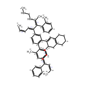 CBCN\C(C)=C(/C(=C/C=C\C)c1ccc(-c2ccccc2C)c(C2=CC3=C(CCCC3)CC2/N=C/C=C(\C=C/C)c2ccccc2)c1)c1ccccc1C